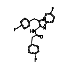 O=C(Cc1ccc(F)cc1)Nc1nc2ccc(F)cn2c1Cc1ccc(F)cc1